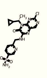 C[C@@H](C1CC1)n1c(=O)c(NCc2ccc(S(N)(=O)=O)cn2)nc2cnc(Cl)nc21